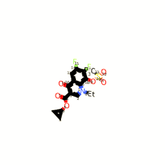 CCn1cc(C(=O)OC2CC2)c(=O)c2cc(F)c(F)c(OS(=O)(=O)C(F)(F)F)c21